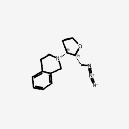 [N-]=[N+]=NC[C@H]1OCC[C@H]1N1CCc2ccccc2C1